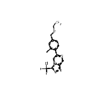 Cc1cc(COCC(F)(F)F)ccc1-c1cn2c(C(F)(F)Cl)nnc2cn1